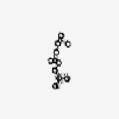 c1ccc(-n2c3ccccc3c3ccc(-c4ccc(-n5c6ccccc6c6c(-c7cccc(-c8nc(-c9ccccn9)nc(-c9ccccn9)n8)c7)cccc65)cc4)cc32)cc1